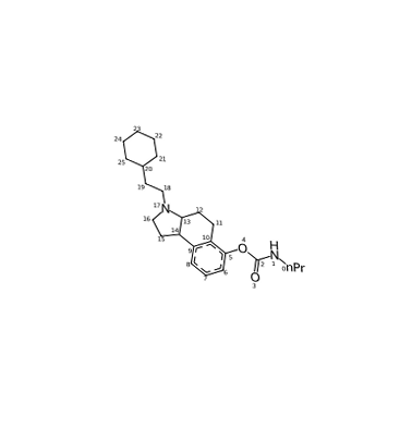 CCCNC(=O)Oc1cccc2c1CCC1C2CCN1CCC1CCCCC1